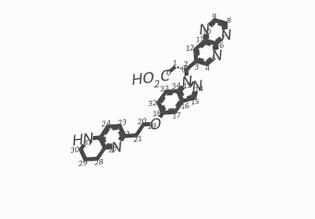 O=C(O)C[C@H](c1cnc2nccnc2c1)n1ncc2cc(OCCc3ccc4c(n3)CCCN4)ccc21